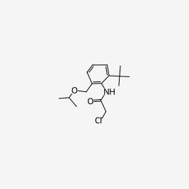 CC(C)OCc1cccc(C(C)(C)C)c1NC(=O)CCl